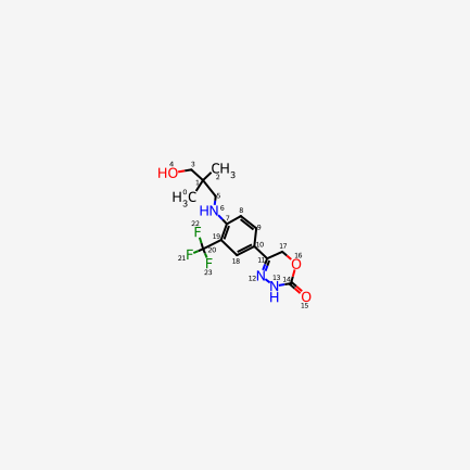 CC(C)(CO)CNc1ccc(C2=NNC(=O)OC2)cc1C(F)(F)F